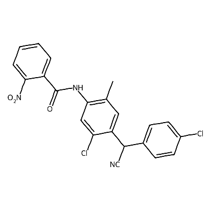 Cc1cc(C(C#N)c2ccc(Cl)cc2)c(Cl)cc1NC(=O)c1ccccc1[N+](=O)[O-]